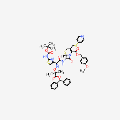 COc1ccc(COC(=O)C2=C(CSc3ccncc3)CS[C@H]3[C@H](NC(=O)C(=NOC(C)(C)C(=O)OC(c4ccccc4)c4ccccc4)c4csc(NC(=O)OC(C)(C)C)n4)C(=O)N23)cc1